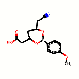 COc1ccc(B2OC(CC#N)CC(CC(=O)O)O2)cc1